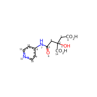 O=C(O)CC(O)(CC(=O)Nc1ccncc1)C(=O)O